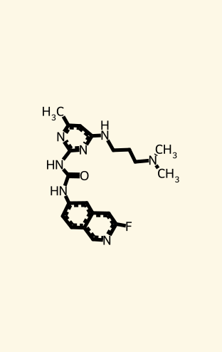 Cc1cc(NCCCN(C)C)nc(NC(=O)Nc2ccc3cnc(F)cc3c2)n1